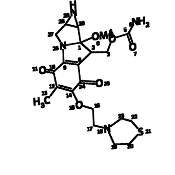 COC12C(COC(N)=O)C3=C(C(=O)C(C)=C(OCCN4CCSCC4)C3=O)N1CC1NC12